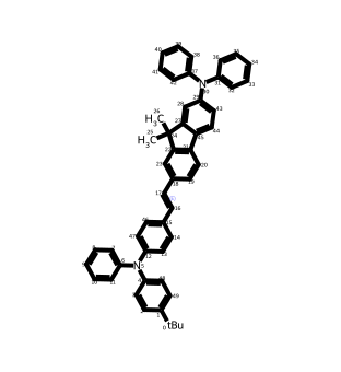 CC(C)(C)c1ccc(N(c2ccccc2)c2ccc(/C=C/c3ccc4c(c3)C(C)(C)c3cc(N(c5ccccc5)c5ccccc5)ccc3-4)cc2)cc1